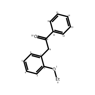 CCOc1ccccc1CC(=O)c1ccccc1